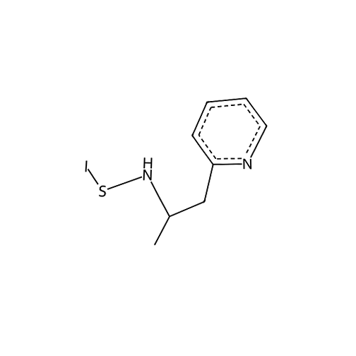 CC(Cc1ccccn1)NSI